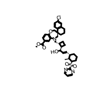 COC(=O)c1ccc2c(c1)N(C[C@@H]1CC[C@H]1C(O)/C=C/[C@@H]1CCC[C@@H](S(=O)(=O)c3ncccn3)[C@H]1C)C[C@@]1(CCCc3cc(Cl)ccc31)CO2